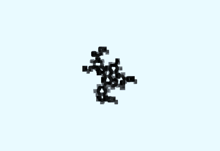 C=CC(=O)N1Cc2cc(-c3nc(-c4ccc5ncn(C)c5c4)c4ccsc4c3-c3c(F)cc(F)cc3OC[C@@H](C)O)nn2[C@@H](C)C1